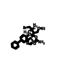 CCOCC(C(C)(C)CBr)C(OC(N)=O)(Oc1ccc(-c2ccccc2)cc1)n1cncn1